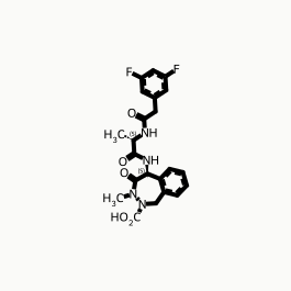 C[C@H](NC(=O)Cc1cc(F)cc(F)c1)C(=O)N[C@@H]1C(=O)N(C)N(C(=O)O)Cc2ccccc21